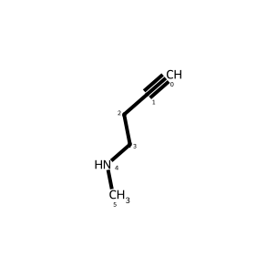 C#CC[CH]NC